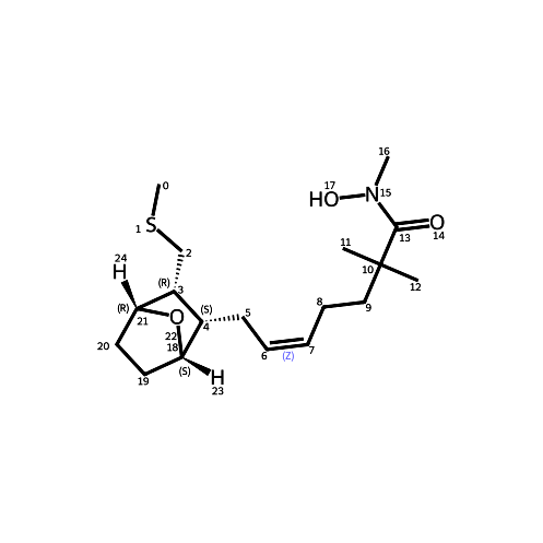 CSC[C@@H]1[C@H](C/C=C\CCC(C)(C)C(=O)N(C)O)[C@@H]2CC[C@H]1O2